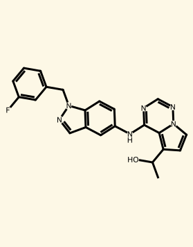 CC(O)c1ccn2ncnc(Nc3ccc4c(cnn4Cc4cccc(F)c4)c3)c12